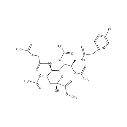 COC(=O)[C@]1(O)C[C@H](OC(C)=O)[C@@H](NC(=O)COC(C)=O)[C@H]([C@H](OC(C)=O)[C@@H](CNC(=O)Cc2ccc(Cl)cc2)OC(C)=O)O1